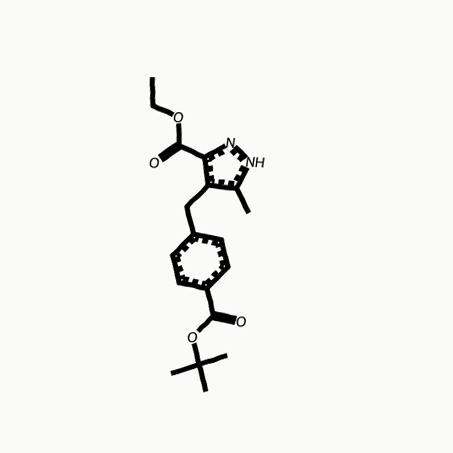 CCOC(=O)c1n[nH]c(C)c1Cc1ccc(C(=O)OC(C)(C)C)cc1